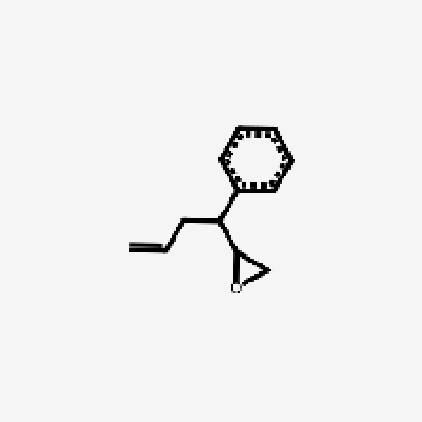 C=CC[C](c1ccccc1)C1CO1